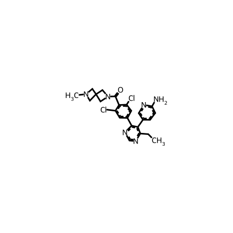 CCc1ncnc(-c2cc(Cl)c(C(=O)N3CC4(CN(C)C4)C3)c(Cl)c2)c1-c1ccc(N)nc1